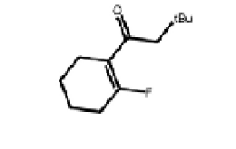 CC(C)(C)CC(=O)C1=C(F)CCCC1